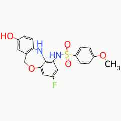 COc1ccc(S(=O)(=O)Nc2cc(F)cc3c2Nc2ccc(O)cc2CO3)cc1